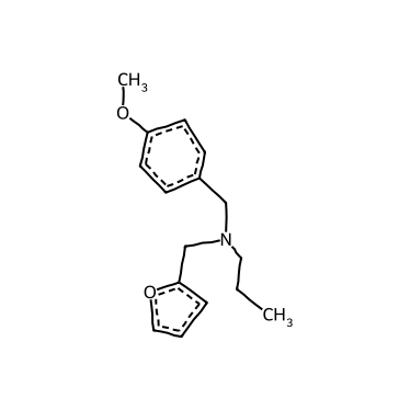 CCCN(Cc1ccc(OC)cc1)Cc1ccco1